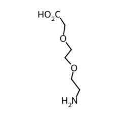 NCCOCCOCC(=O)O